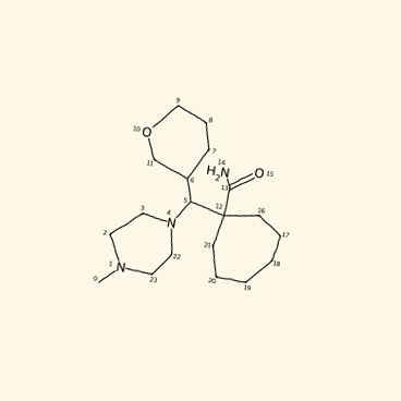 CN1CCN(C(C2CCCOC2)C2(C(N)=O)CCCCCC2)CC1